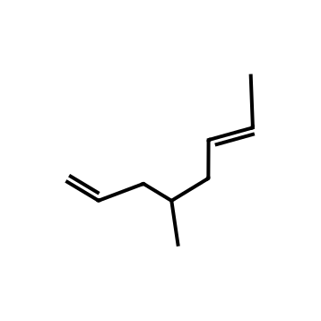 C=CCC(C)C/C=C/C